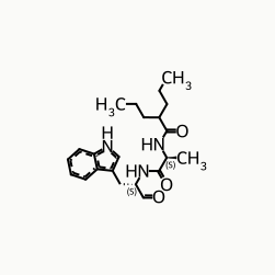 CCCC(CCC)C(=O)N[C@@H](C)C(=O)N[C@H](C=O)Cc1c[nH]c2ccccc12